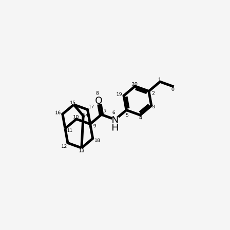 CCc1ccc(NC(=O)C23CC4CC(CC(C4)C2)C3)cc1